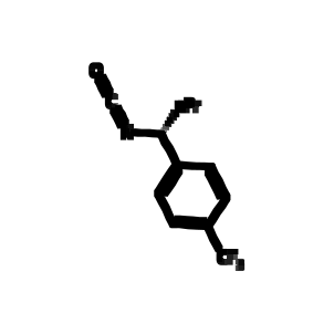 CCC[C@@H](N=C=O)c1ccc(C(F)(F)F)cc1